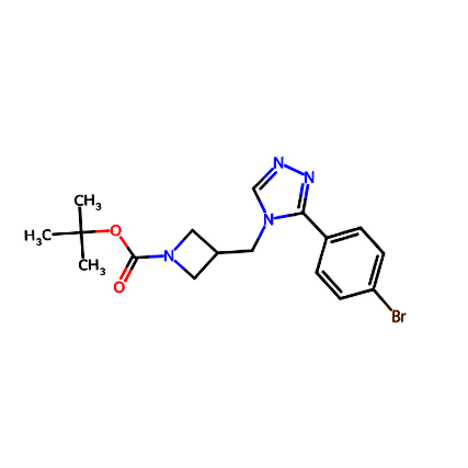 CC(C)(C)OC(=O)N1CC(Cn2cnnc2-c2ccc(Br)cc2)C1